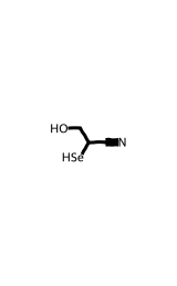 N#CC([SeH])CO